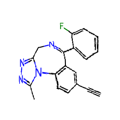 C#Cc1ccc2c(c1)C(c1ccccc1F)=NCc1nnc(C)n1-2